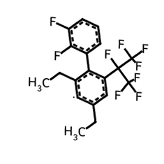 CCc1[c]c(CC)c(-c2cccc(F)c2F)c(C(F)(C(F)(F)F)C(F)(F)F)c1